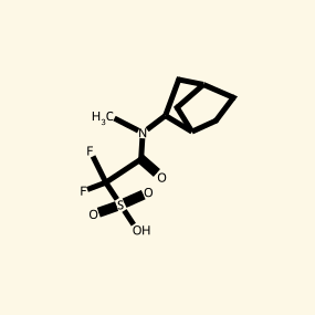 CN(C(=O)C(F)(F)S(=O)(=O)O)C1CC2CCC1C2